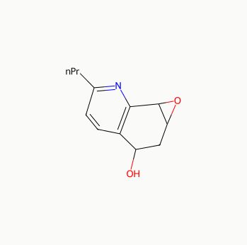 CCCc1ccc2c(n1)C1OC1CC2O